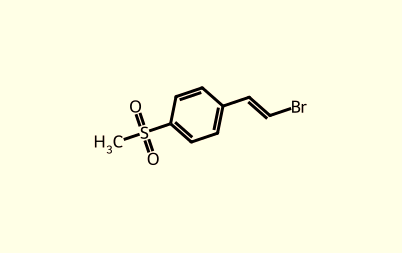 CS(=O)(=O)c1ccc(/C=C/Br)cc1